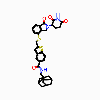 O=C1CCC(N2Cc3c(SCc4cc5cc(C(=O)NCC67CC8CC(CC(C8)C6)C7)ccc5s4)cccc3C2=O)C(=O)N1